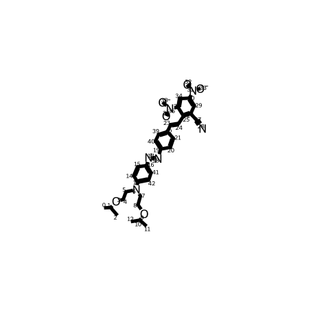 CC(C)OCCN(CCOC(C)C)c1ccc(N=Nc2ccc(C=Cc3c(C#N)cc([N+](=O)[O-])cc3[N+](=O)[O-])cc2)cc1